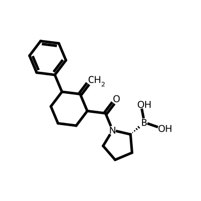 C=C1C(C(=O)N2CCC[C@H]2B(O)O)CCCC1c1ccccc1